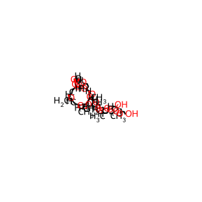 C=C1C[C@@H]2CCC34C[C@H]5OC(O3)[C@H]5[C@H]3C[C@@H](O4)[C@H]4O[C@H](CCC4O3)CC(=O)O[C@H]3C(C[C@H]4O[C@@H](CC[C@@H]1O2)C[C@@H](C)C4=C)O[C@H]1C[C@H]2O[C@@]4(CC5O[C@]6(C[C@H](C)C7O[C@H](CC(=O)CCO)[C@H](O)C[C@@H]7O6)C[C@H](C)[C@@H]5O4)C[C@H]2O[C@H]1[C@@H]3C